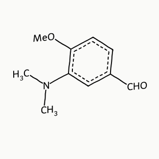 COc1ccc(C=O)cc1N(C)C